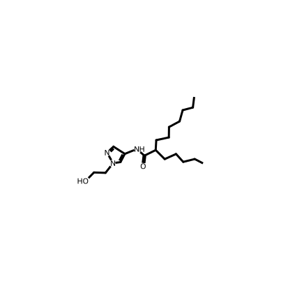 CCCCCCCC(CCCCC)C(=O)Nc1cnn(CCO)c1